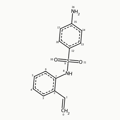 C=Cc1ccccc1NS(=O)(=O)c1ccc(N)cc1